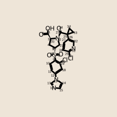 O=C(O)[C@@H]1C[C@@H](S(=O)(=O)c2ccc(-n3ccnc3)cc2Cl)CN1C(=O)C1(c2ccc(Cl)nc2)CC1